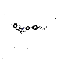 O=C(O)c1ccc(-c2ccc(/C=C3\NC(=O)N(Cc4ccccc4)C3=O)o2)cc1